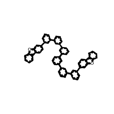 c1cc(-c2cccc(-c3cccc(-c4cccc(-c5ccc6c(c5)oc5ccccc56)c4)c3)c2)cc(-c2cccc(-c3cccc(-c4ccc5c(c4)oc4ccccc45)c3)c2)c1